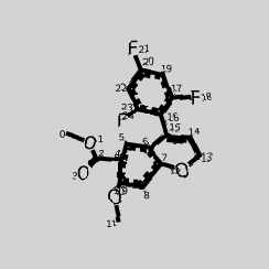 COC(=O)c1cc2c(cc1OC)OCC=C2c1c(F)cc(F)cc1F